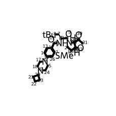 CS[C@H]1CN(C(=O)[C@H](CC(C)(C)C)NC(=O)c2ccc(N3CCN(C4CCC4)CC3)cc2)[C@@H]2C(=O)CO[C@H]12